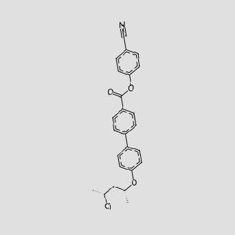 C[C@H](C[C@@H](C)Cl)Oc1ccc(-c2ccc(C(=O)Oc3ccc(C#N)cc3)cc2)cc1